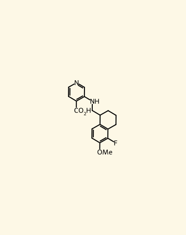 COc1ccc2c(c1F)CCCC2CNc1cnccc1C(=O)O